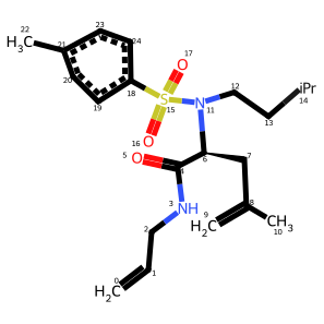 C=CCNC(=O)[C@H](CC(=C)C)N(CCC(C)C)S(=O)(=O)c1ccc(C)cc1